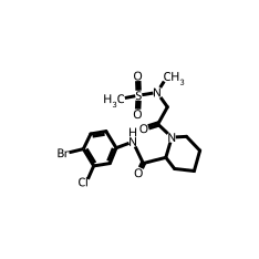 CN(CC(=O)N1CCCCC1C(=O)Nc1ccc(Br)c(Cl)c1)S(C)(=O)=O